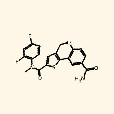 CN(C(=O)c1cc2c(s1)-c1cc(C(N)=O)ccc1OC2)c1ccc(F)cc1F